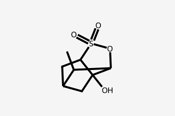 CC1C2CC3C(O)(C2)C1OS3(=O)=O